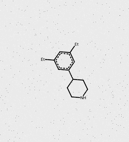 CCc1cc(CC)cc(C2CCNCC2)c1